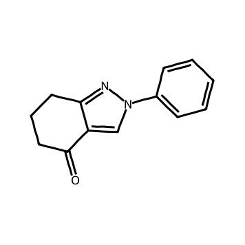 O=C1CCCc2nn(-c3ccccc3)cc21